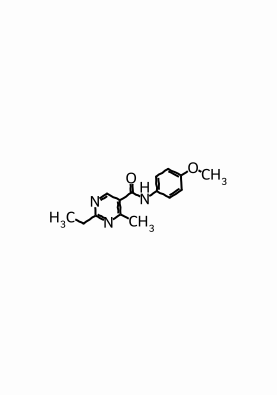 CCc1ncc(C(=O)Nc2ccc(OC)cc2)c(C)n1